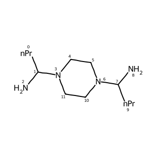 CCCC(N)N1CCN(C(N)CCC)CC1